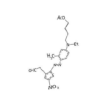 CCN(CCCCOC(C)=O)c1ccc(N=Nc2sc([N+](=O)[O-])cc2CC=O)c(C)c1